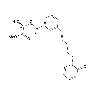 COC(=O)[C@@H](C)NC(=O)c1cccc(C=CCCCn2ccccc2=O)c1